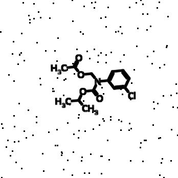 CC(=O)OCN(C(=O)OC(C)C)c1cccc(Cl)c1